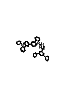 c1ccc(-c2cc(-c3ccccc3)cc(-c3ccnc(-n4c5ccccc5c5cc(-c6ccc7c(c6)c6ccccc6n7-c6ccccc6)ccc54)n3)c2)cc1